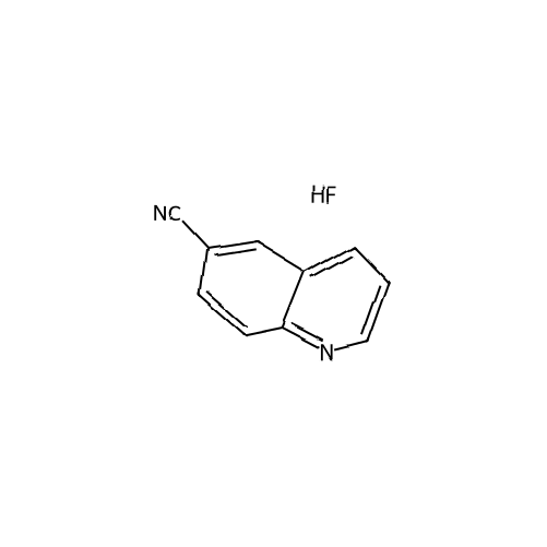 F.N#Cc1ccc2ncccc2c1